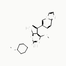 COc1nc(N[C@H]2CC[C@H](OC)CC2)nc2[nH]cc(-c3ccc4nccn4c3)c12